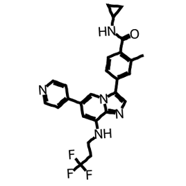 Cc1cc(-c2cnc3c(NCCC(F)(F)F)cc(-c4ccncc4)cn23)ccc1C(=O)NC1CC1